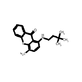 Cc1ccc(NCCC(C)(C)C)c2c(=O)c3ccccc3sc12